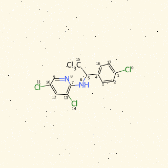 Clc1ccc(C(Nc2ncc(Cl)cc2Cl)C(Cl)(Cl)Cl)cc1